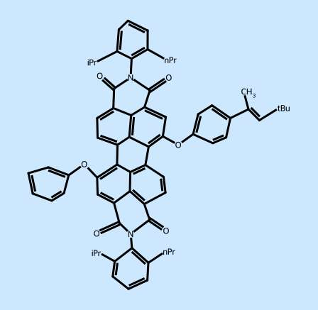 CCCc1cccc(C(C)C)c1N1C(=O)c2ccc3c4c(Oc5ccc(/C(C)=C/C(C)(C)C)cc5)cc5c6c(ccc(c7c(Oc8ccccc8)cc(c2c37)C1=O)c64)C(=O)N(c1c(CCC)cccc1C(C)C)C5=O